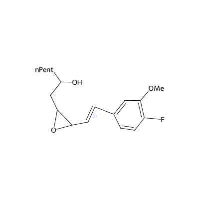 CCCCCC(O)CC1OC1/C=C/c1ccc(F)c(OC)c1